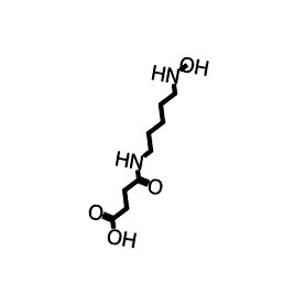 O=C(O)CCC(=O)NCCCCCNO